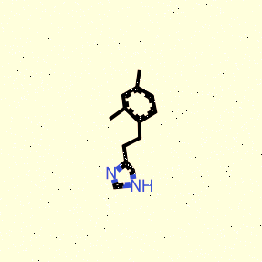 Cc1ccc(CCc2c[nH]cn2)c(C)c1